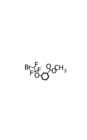 COC(=O)c1cccc(OC(F)(F)C(F)Br)c1